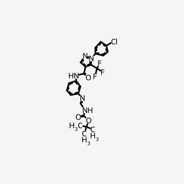 CC(C)(C)OC(=O)NC=Nc1cccc(NC(=O)c2cnn(-c3ccc(Cl)cc3)c2C(F)(F)F)c1